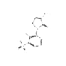 Cc1c(N2CC[C@@H](O)C2=O)cccc1S(=O)(=O)Cl